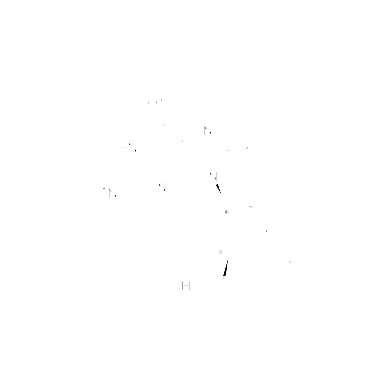 [2H]c1nc2c(=O)[nH]c(N)nc2n1[C@H]1CC(O)[C@@H](CO)O1